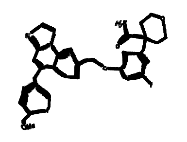 COc1ccc(-c2cc3nccn3c3cc(COc4cc(F)cc(C5(C(N)=O)CCOCC5)c4)ccc23)cn1